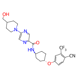 N#Cc1ccc(O[C@H]2CC[C@H](NC(=O)c3cnc(N4CCC(CO)CC4)cn3)CC2)cc1C(F)(F)F